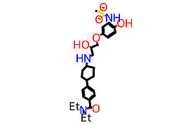 CCN(CC)C(=O)c1ccc(C2CCC(NC[C@H](O)COc3ccc(O)c(NS(C)(=O)=O)c3)CC2)cc1